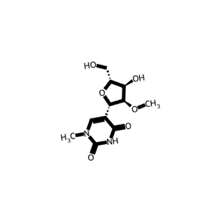 CO[C@@H]1[C@H](O)[C@@H](CO)O[C@H]1c1cn(C)c(=O)[nH]c1=O